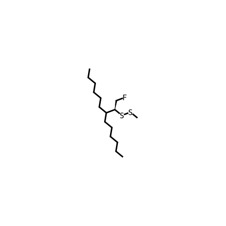 CCCCCCC(CCCCCC)[C@@H](CF)SSC